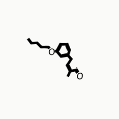 CCCCCOc1cccc(CC=C(C)[C]=O)c1